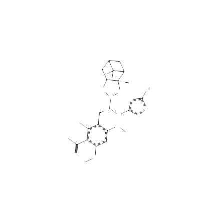 COc1cc(OC)c(C(C)=O)c(C)c1C[C@H](Sc1nnc(N)s1)B1OC2CC3CC(C3(C)C)[C@]2(C)O1